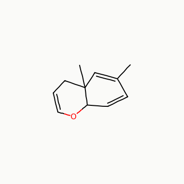 CC1=CC2(C)CC=COC2C=C1